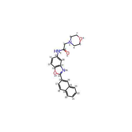 O=C(CN1CCOCC1)Nc1ccc2oc(-c3ccc4ccccc4c3)nc2c1